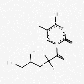 Nc1nc(=O)n(C(=O)C(F)(F)C[C@H](O)CO)cc1I